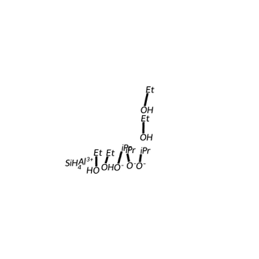 CC(C)[O-].CC(C)[O-].CC(C)[O-].CCO.CCO.CCO.CCO.[Al+3].[SiH4]